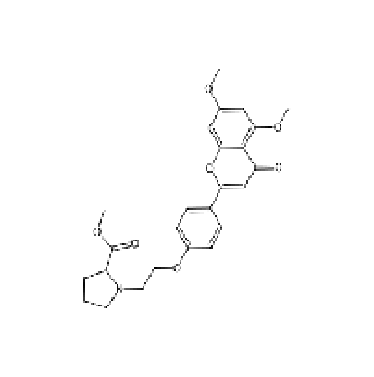 COC(=O)C1CCCN1CCOc1ccc(-c2cc(=O)c3c(OC)cc(OC)cc3o2)cc1